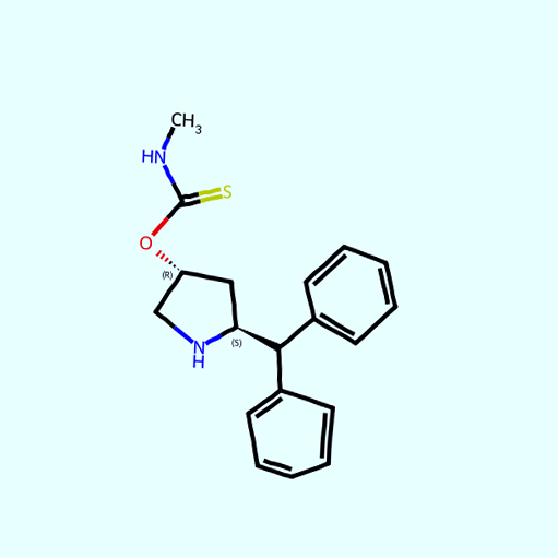 CNC(=S)O[C@H]1CN[C@H](C(c2ccccc2)c2ccccc2)C1